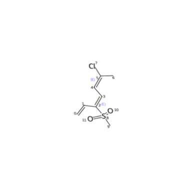 C=C/C(=C\C=C(/C)Cl)S(C)(=O)=O